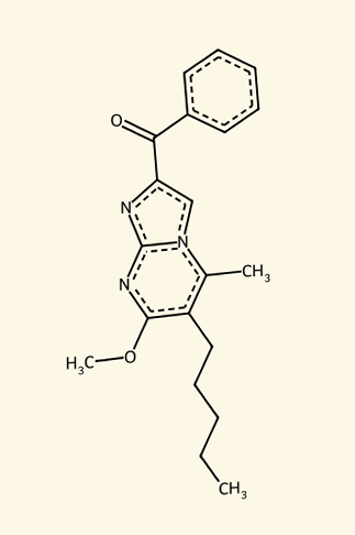 CCCCCc1c(OC)nc2nc(C(=O)c3ccccc3)cn2c1C